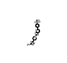 CC(C)c1noc(C2CCN(c3nc4ccc(-c5ccc(S(C)(=O)=O)cc5)nc4s3)CC2)n1